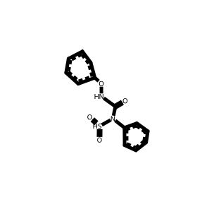 O=C(NOc1ccccc1)N(c1ccccc1)[SH](=O)=O